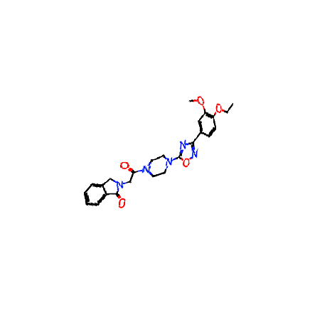 CCOc1ccc(-c2noc(N3CCN(C(=O)CN4Cc5ccccc5C4=O)CC3)n2)cc1OC